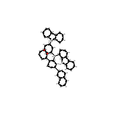 c1ccc(-c2ccc(-c3ccc4ccccc4c3)cc2N(c2cccc(-n3c4ccccc4c4ccccc43)c2)c2cccc3c2sc2ccccc23)cc1